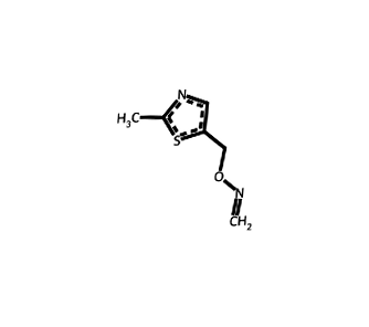 C=NOCc1cnc(C)s1